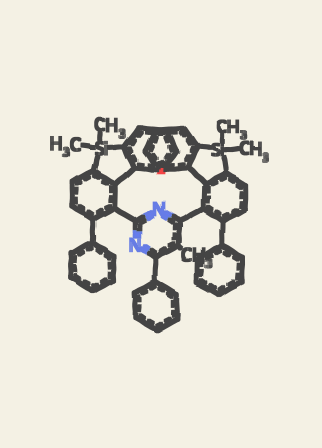 Cc1c(-c2ccccc2)nc(-c2c(-c3ccccc3)ccc3c2-c2ccccc2[Si]3(C)C)nc1-c1c(-c2ccccc2)ccc2c1-c1ccccc1[Si]2(C)C